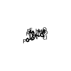 O=[SH](=O)Nc1cc(Cl)cc(CNc2nc(NC3(C(F)(F)F)CC3)c3nc(-c4ccc(F)cc4)ccc3n2)c1